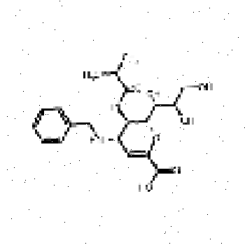 CC(C)C(=O)N[C@H]1[C@H]([C@H](O)[C@H](O)CO)OC(C(=O)O)=C[C@@H]1NCc1ccccc1